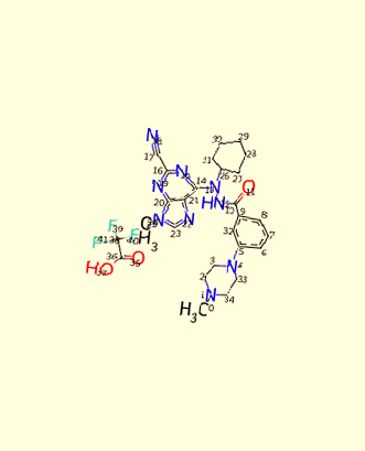 CN1CCN(c2cccc(C(=O)NN(c3nc(C#N)nc4c3ncn4C)C3CCCCC3)c2)CC1.O=C(O)C(F)(F)F